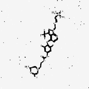 CC1CN(CCNC(=O)Nc2cc(F)c(Oc3ccnc4c3c(C(F)(F)F)cn4COCC[Si](C)(C)C)c(F)c2)CC(C)O1